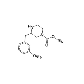 COc1cccc(CC2CN(C(=O)OC(C)(C)C)CCN2)c1